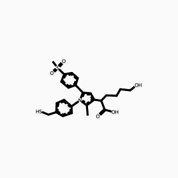 Cc1c(C(CCCCO)C(=O)O)cc(-c2ccc(S(C)(=O)=O)cc2)n1-c1ccc(CS)cc1